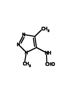 Cc1nnn(C)c1NC=O